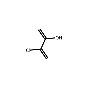 C=C(O)C(=C)Cl